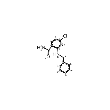 NC(=O)c1ccc(Cl)nc1NCc1ccccc1